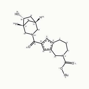 CC(C)(C)OC(=O)N1CCCn2nc(C(=O)N3C[C@@H]4C[C@H](C3)[C@H](O)C4)cc2C1